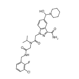 CC(C)N(CC(=O)NCc1cccc(Cl)c1F)C(=O)Cn1nc(C(N)=O)c2cc(C(O)N3CCCCC3)ccc21